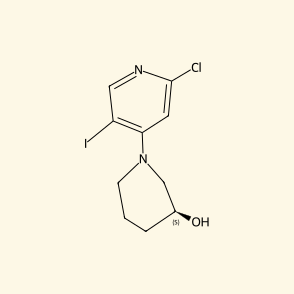 O[C@H]1CCCN(c2cc(Cl)ncc2I)C1